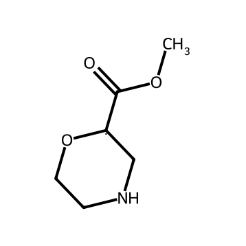 COC(=O)[C]1CNCCO1